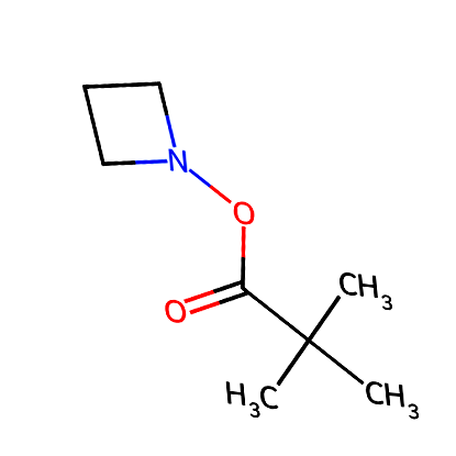 CC(C)(C)C(=O)ON1CCC1